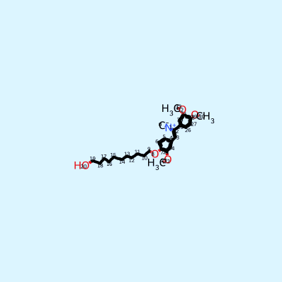 [C-]#[N+]/C(=C\c1ccc(OCCCCCCCCCCCO)c(OC)c1)c1ccc(OC)c(OC)c1